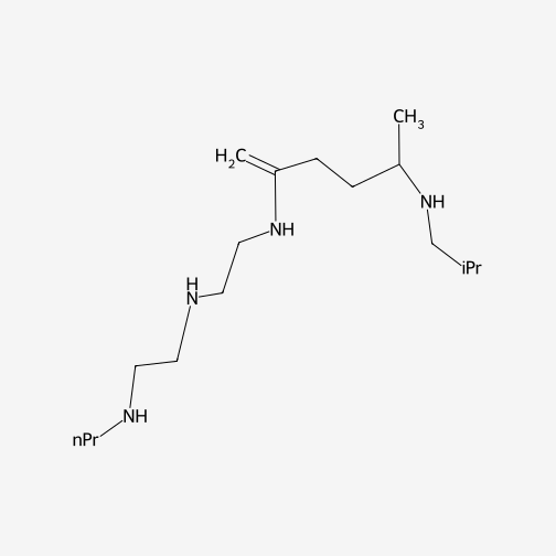 C=C(CCC(C)NCC(C)C)NCCNCCNCCC